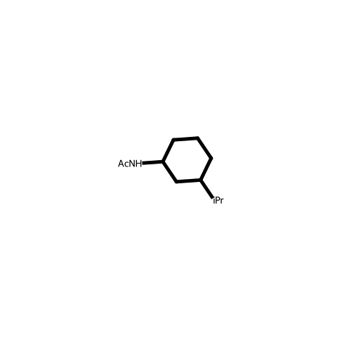 CC(=O)NC1CCCC(C(C)C)C1